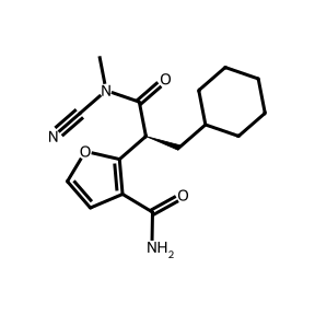 CN(C#N)C(=O)[C@@H](CC1CCCCC1)c1occc1C(N)=O